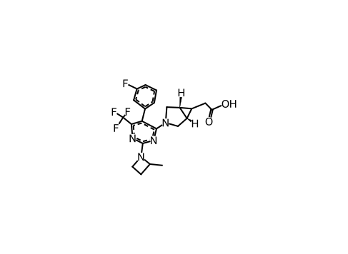 CC1CCN1c1nc(N2C[C@@H]3C(CC(=O)O)[C@@H]3C2)c(-c2cccc(F)c2)c(C(F)(F)F)n1